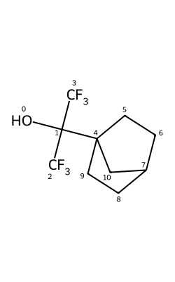 OC(C(F)(F)F)(C(F)(F)F)C12CCC(CC1)C2